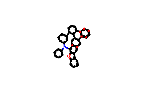 c1ccc(-c2ccccc2-c2c(-c3ccccc3)cccc2-c2cccc(N(c3ccccc3)c3cccc4c3oc3ccccc34)c2)cc1